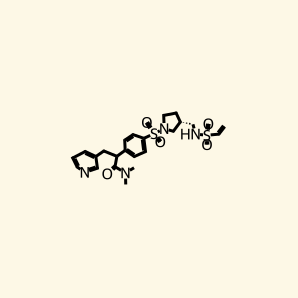 C=CS(=O)(=O)NC[C@H]1CCN(S(=O)(=O)c2ccc(C(Cc3cccnc3)C(=O)N(C)C)cc2)C1